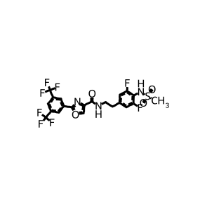 CS(=O)(=O)Nc1c(F)cc(CCNC(=O)c2coc(-c3cc(C(F)(F)F)cc(C(F)(F)F)c3)n2)cc1F